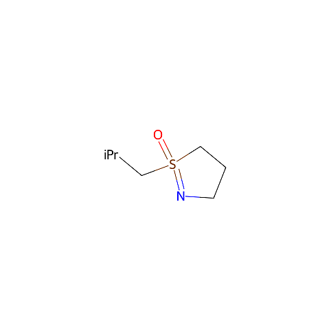 CC(C)CS1(=O)=NCCC1